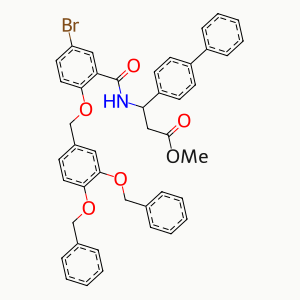 COC(=O)CC(NC(=O)c1cc(Br)ccc1OCc1ccc(OCc2ccccc2)c(OCc2ccccc2)c1)c1ccc(-c2ccccc2)cc1